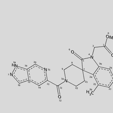 COC(=O)CN1C(=O)C2(CCN(C(=O)c3cc4cn[nH]c4cn3)CC2)c2c(C)cccc21